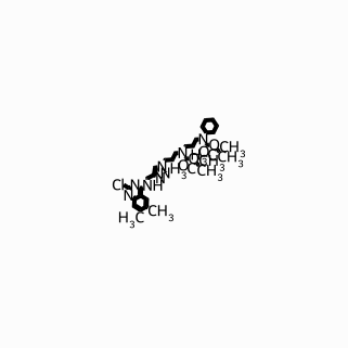 Cc1cc2nc(Cl)nc(NCc3cn(CCCN(CCCN(C(=O)OC(C)(C)C)C4CCCCC4)C(=O)OC(C)(C)C)nn3)c2cc1C